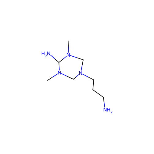 CN1CN(CCCN)CN(C)C1N